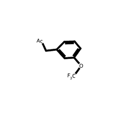 CC(=O)Cc1cccc(OC(F)(F)F)c1